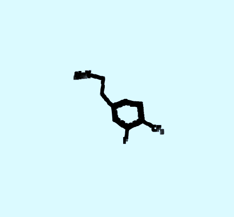 CNCCc1ccc(C(F)(F)F)c(F)c1